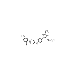 C[C@@H]1C(C(F)(F)F)=NN(c2ccc(OC3CCN(c4cc(O)ccc4F)CC3)cc2)[C@H]1CC(=O)O